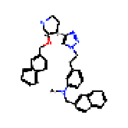 CC(=O)N(Cc1ccc2ccccc2c1)c1cccc(CCn2cc([C@H]3CCNC[C@@H]3OCc3ccc4ccccc4c3)nn2)c1